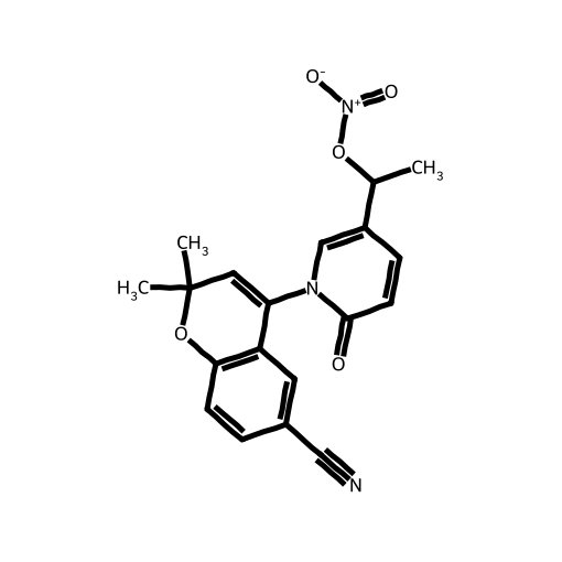 CC(O[N+](=O)[O-])c1ccc(=O)n(C2=CC(C)(C)Oc3ccc(C#N)cc32)c1